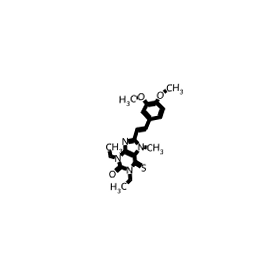 CCn1c(=S)c2c(nc(/C=C/c3ccc(OC)c(OC)c3)n2C)n(CC)c1=O